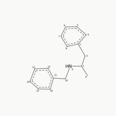 CC(Cc1ccccc1)NCc1ccccc1